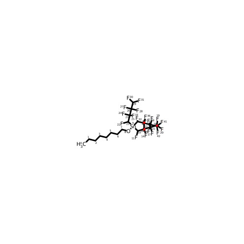 CCCCCCCC[O][Sn]([CH](F)C(F)(F)C(F)(F)C(F)F)([CH](F)C(F)(F)C(F)(F)C(F)F)[CH](F)C(F)(F)C(F)(F)C(F)F